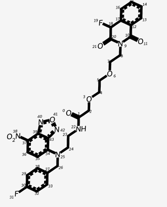 O=C(COCCOCCN1C(=O)c2ccccc2C(F)C1=O)NCCN(Cc1ccc(F)cc1)c1ccc([N+](=O)[O-])c2nonc12